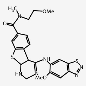 COCCN(C)C(=O)c1ccc2c(c1)SC1NCN=C(Nc3cc4snnc4cc3OC)C21